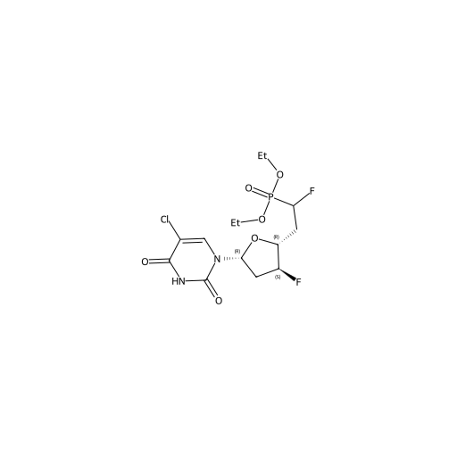 CCOP(=O)(OCC)C(F)C[C@H]1O[C@@H](n2cc(Cl)c(=O)[nH]c2=O)C[C@@H]1F